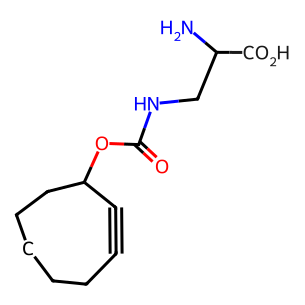 NC(CNC(=O)OC1C#CCCCCC1)C(=O)O